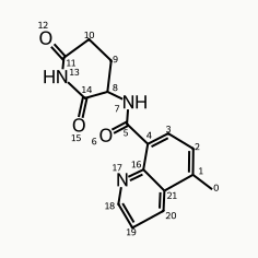 Cc1ccc(C(=O)NC2CCC(=O)NC2=O)c2ncccc12